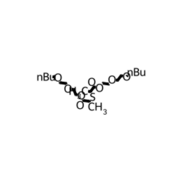 CCCCOCCOCCOC(=O)C(C)SC(C)C(=O)OCCOCCOCCCC